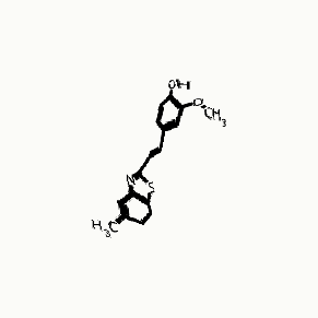 COc1cc(C=Cc2nc3cc(C)ccc3s2)ccc1O